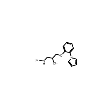 CC(C)(C)NCC(O)COc1ccccc1-n1cccc1